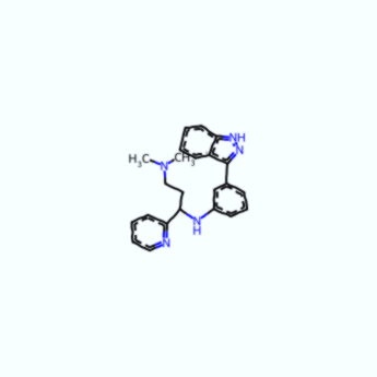 CN(C)CCC(Nc1cccc(-c2n[nH]c3ccccc23)c1)c1ccccn1